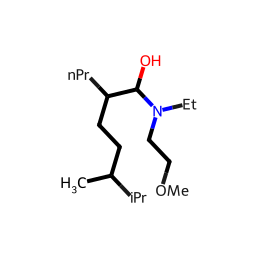 CCCC(CCC(C)C(C)C)C(O)N(CC)CCOC